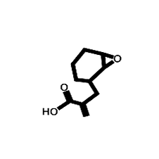 C=C(CC1CCCC2OC12)C(=O)O